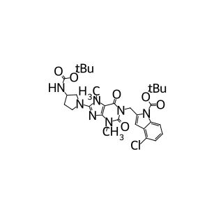 Cn1c(N2CCC(NC(=O)OC(C)(C)C)C2)nc2c1c(=O)n(Cc1cc3c(Cl)cccc3n1C(=O)OC(C)(C)C)c(=O)n2C